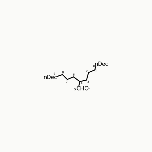 CCCCCCCCCCCCCC([C]=O)CCCCCCCCCCCCC